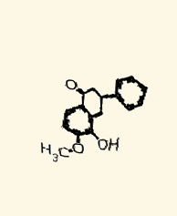 COc1ccc2c(c1O)CC(c1ccccc1)CC2=O